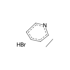 Br.CC.c1ccncc1